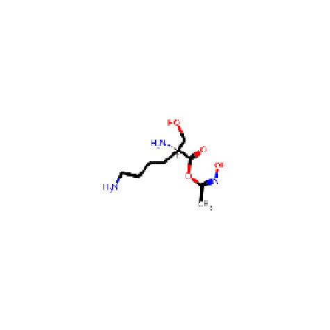 CC(=NO)OC(=O)[C@](N)(CO)CCCCN